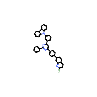 Clc1ccc2ccc(-c3ccc(-c4cc(-c5cccc(-n6c7ccccc7c7ccccc76)c5)nc(-c5ccccc5)n4)cc3)cc2n1